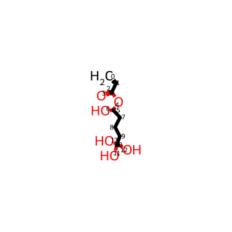 C=CC(=O)OC(O)CCCC(O)(O)O